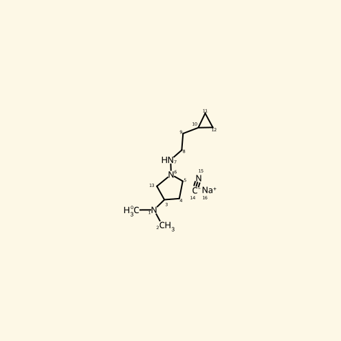 CN(C)C1CCN(NCCC2CC2)C1.[C-]#N.[Na+]